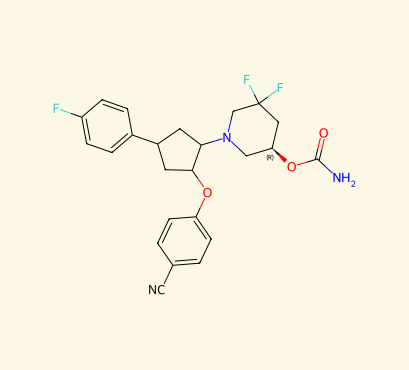 N#Cc1ccc(OC2CC(c3ccc(F)cc3)CC2N2C[C@H](OC(N)=O)CC(F)(F)C2)cc1